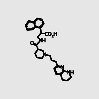 O=C(NC[C@H](C(=O)O)c1cccc2ccccc12)[C@@H]1CCCN(CCCc2ccc3c(n2)NCCC3)C1